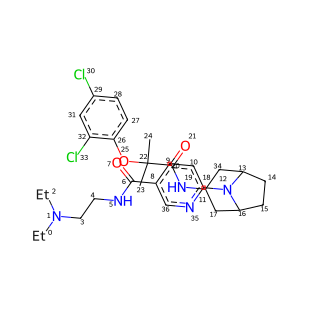 CCN(CC)CCNC(=O)c1ccc(N2C3CCC2CC(NC(=O)C(C)(C)Oc2ccc(Cl)cc2Cl)C3)nc1